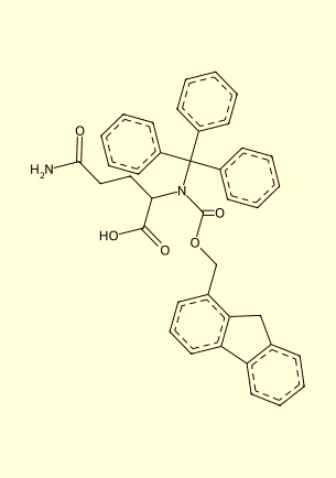 NC(=O)CCC(C(=O)O)N(C(=O)OCc1cccc2c1Cc1ccccc1-2)C(c1ccccc1)(c1ccccc1)c1ccccc1